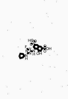 O=S(=O)(O)c1cc(O)c2c(Nc3nc(F)nc(Nc4ccccc4)n3)cc(S(=O)(=O)O)cc2c1